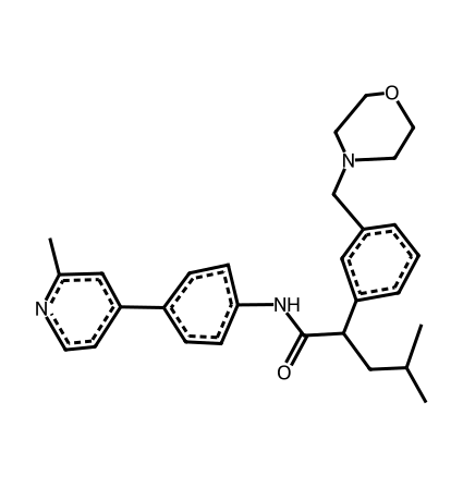 Cc1cc(-c2ccc(NC(=O)C(CC(C)C)c3cccc(CN4CCOCC4)c3)cc2)ccn1